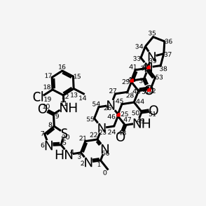 Cc1nc(Nc2ncc(C(=O)Nc3c(C)cccc3Cl)s2)cc(N2CCN(CCCC(=O)N3CC4CCC(C3)N4c3ccc(C4CCC(=O)NC4=O)cc3)CC2)n1